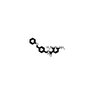 Nc1ccc(C(=O)NCc2ccc(COc3ccccc3)cc2)c(N)n1